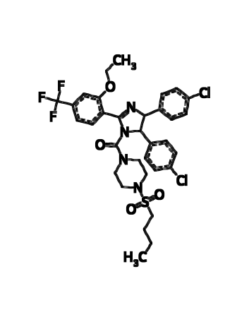 CCCCS(=O)(=O)N1CCN(C(=O)N2C(c3ccc(C(F)(F)F)cc3OCC)=NC(c3ccc(Cl)cc3)C2c2ccc(Cl)cc2)CC1